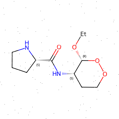 CCO[C@@H]1OOCC[C@@H]1NC(=O)[C@@H]1CCCN1